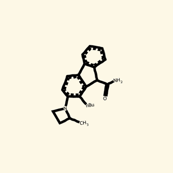 CCCCc1c(N2CCC2C)ccc2c1C(C(N)=O)c1ccccc1-2